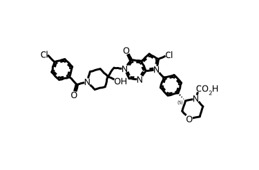 O=C(c1ccc(Cl)cc1)N1CCC(O)(Cn2cnc3c(cc(Cl)n3-c3ccc([C@H]4COCCN4C(=O)O)cc3)c2=O)CC1